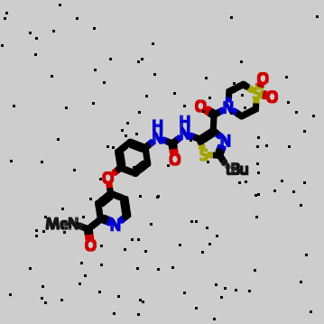 CNC(=O)c1cc(Oc2ccc(NC(=O)Nc3sc(C(C)(C)C)nc3C(=O)N3CCS(=O)(=O)CC3)cc2)ccn1